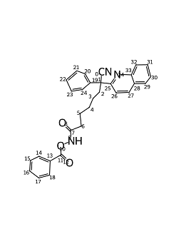 N#CC(CCCCCC(=O)NOC(=O)c1ccccc1)(c1ccccc1)c1ccc2ccccc2n1